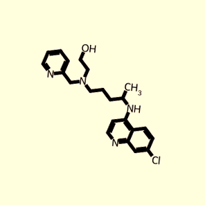 CC(CCCN(CCO)Cc1ccccn1)Nc1ccnc2cc(Cl)ccc12